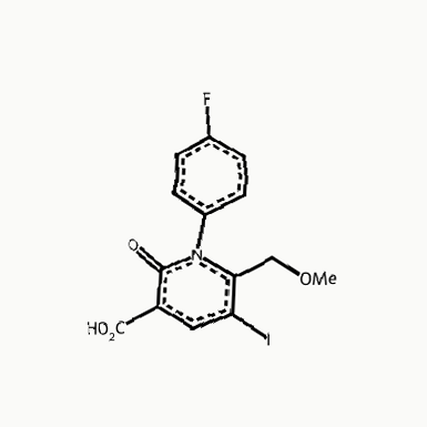 COCc1c(I)cc(C(=O)O)c(=O)n1-c1ccc(F)cc1